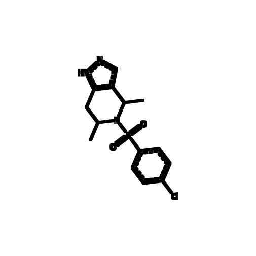 CC1Cc2[nH]ncc2C(C)N1S(=O)(=O)c1ccc(Cl)cc1